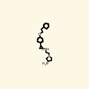 N[C@@H]1CCN(CCN[C@H]2CC2c2ccc(OCCc3ccccc3)cc2)C1